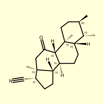 C[C@H]1[C@H](C)CC[C@@]2(C)[C@H]1CC[C@H]1[C@@H]3CC[C@H](C#N)[C@@]3(C)CC(=O)[C@@H]12